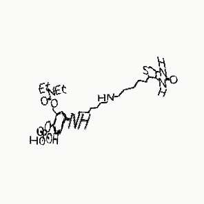 CCN(CC)C(=O)OCc1cc(NCCCCCCNCCCCCC2SCC3NC(=O)NC32)ccc1OP(=O)(O)O